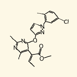 CC=C(C(=O)OC)c1c(C)nc(C)nc1Oc1ccn(-c2cc(Cl)ccc2C)n1